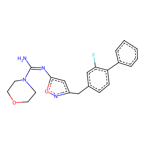 N/C(=N/c1cc(Cc2ccc(-c3ccccc3)c(F)c2)no1)N1CCOCC1